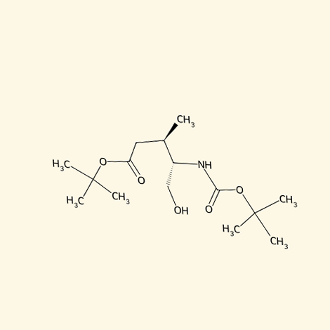 C[C@H](CC(=O)OC(C)(C)C)[C@@H](CO)NC(=O)OC(C)(C)C